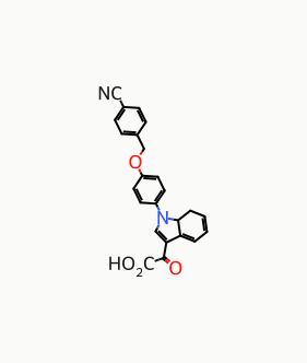 N#Cc1ccc(COc2ccc(N3C=C(C(=O)C(=O)O)C4=CC=CCC43)cc2)cc1